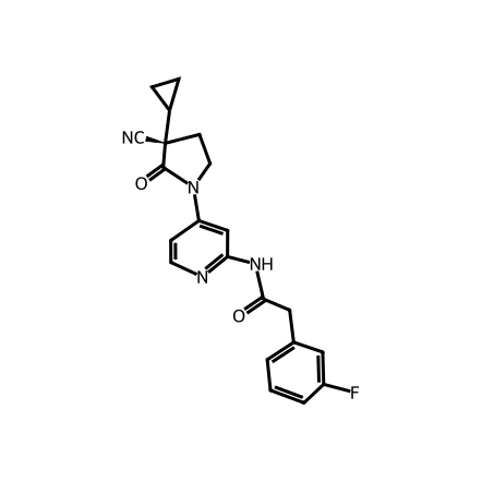 N#C[C@@]1(C2CC2)CCN(c2ccnc(NC(=O)Cc3cccc(F)c3)c2)C1=O